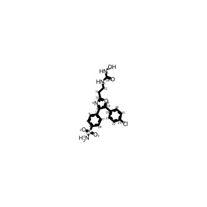 NS(=O)(=O)c1ccc(-c2nc(CCNC(=O)NO)oc2-c2ccc(Cl)cc2)cc1